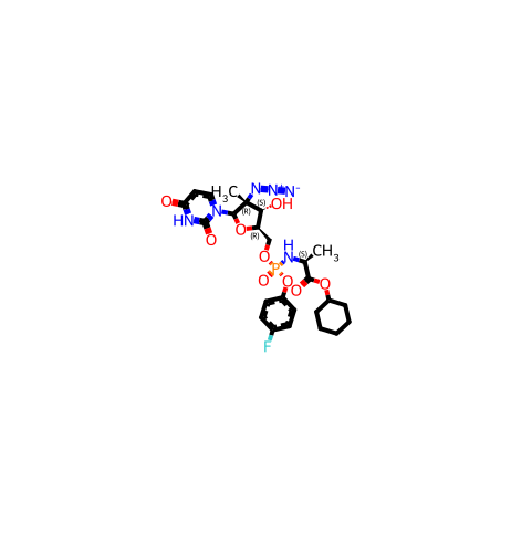 C[C@H](NP(=O)(OC[C@H]1OC(n2ccc(=O)[nH]c2=O)[C@](C)(N=[N+]=[N-])[C@@H]1O)Oc1ccc(F)cc1)C(=O)OC1CCCCC1